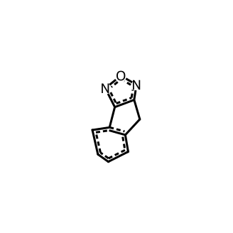 c1ccc2c(c1)Cc1nonc1-2